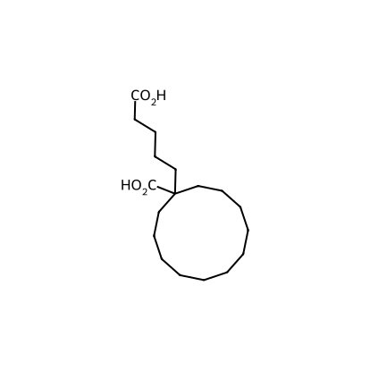 O=C(O)CCCCC1(C(=O)O)CCCCCCCCCCC1